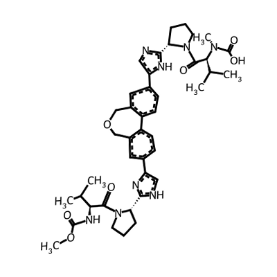 COC(=O)N[C@H](C(=O)N1CCC[C@H]1c1nc(-c2ccc3c(c2)COCc2cc(-c4cnc([C@@H]5CCCN5C(=O)[C@H](C(C)C)N(C)C(=O)O)[nH]4)ccc2-3)c[nH]1)C(C)C